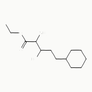 CCOC(=O)C(N)C(O)CCC1CCCCC1